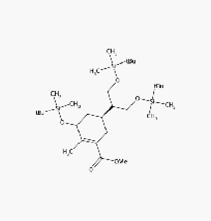 COC(=O)C1=C(C)C(O[Si](C)(C)C(C)(C)C)C[C@@H](C(CO[Si](C)(C)C(C)(C)C)CO[Si](C)(C)C(C)(C)C)C1